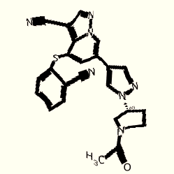 CC(=O)N1CC[C@@H](n2cc(-c3cc(Sc4ccccc4C#N)c4c(C#N)cnn4c3)cn2)C1